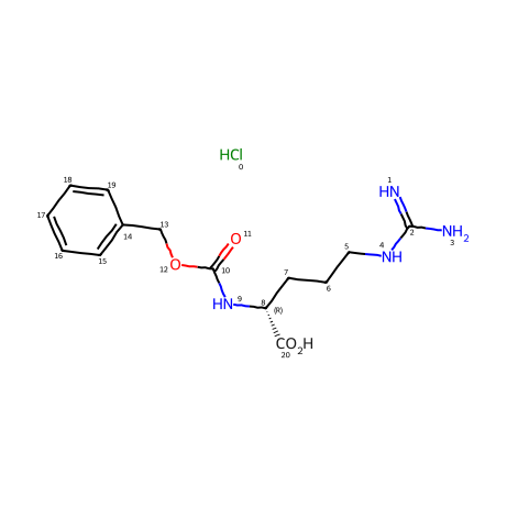 Cl.N=C(N)NCCC[C@@H](NC(=O)OCc1ccccc1)C(=O)O